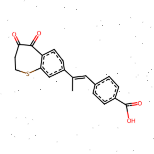 CC(=Cc1ccc(C(=O)O)cc1)c1ccc2c(c1)SCCC(=O)C2=O